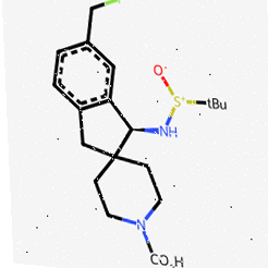 CC(C)(C)[S+]([O-])N[C@@H]1c2cc(CF)ccc2CC12CCN(C(=O)O)CC2